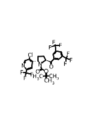 CC(C)(C)OC(=O)N1[C@H](C(=O)c2cc(C(F)(F)F)cc(C(F)(F)F)c2)CC[C@H]1c1cc(C(F)(F)F)ncc1Cl